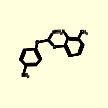 CCCC(Oc1ccc(N)cc1)Oc1cccc(C)c1N